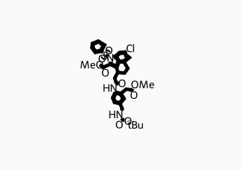 COC(=O)Cc1cc(CNC(=O)OC(C)(C)C)ccc1NC(=O)CC1CCc2cc(Cl)cc3c2c1c(C(=O)OC)n3S(=O)(=O)c1ccccc1